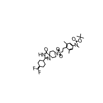 Cc1cc(N(C)C(=O)OC(C)(C)C)cc(C)c1CCS(=O)(=O)N1CCC2(CC1)N=C(C1CCC(=C(F)F)CC1)NC2=O